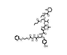 CCCC(=O)OCN(C[C@H](CC)NC(=O)C1CCCCN1C)[C@H](C[C@@H](OC(C)=O)c1nc(C(=O)N[C@@H](Cc2ccc(O)cc2)C[C@H](C)C(=O)NNC(=O)OCCSSc2ccccn2)cs1)C(C)C